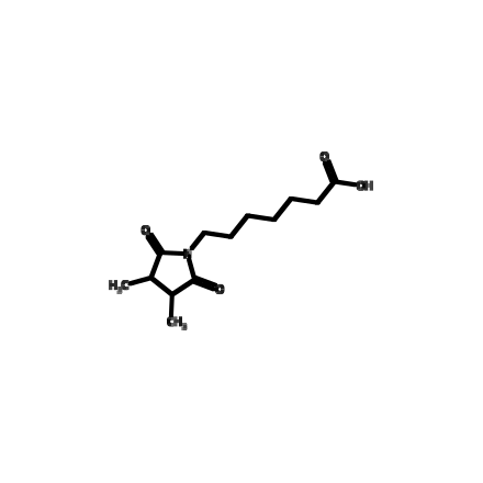 CC1C(=O)N(CCCCCCC(=O)O)C(=O)C1C